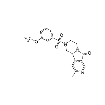 Cc1cc2c(cn1)C(=O)N1CCN(S(=O)(=O)c3cccc(OC(F)(F)F)c3)CC21